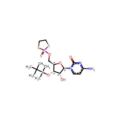 CC(C)(C)[Si](C)(C)O[C@H]1[C@@H](O)[C@H](n2ccc(N)nc2=O)O[C@@H]1COP1(=S)SCCS1